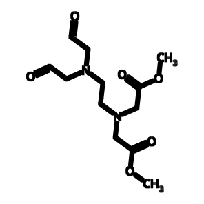 COC(=O)CN(CCN(CC=O)CC=O)CC(=O)OC